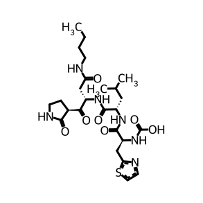 CCCCNC(=O)C[C@H](NC(=O)[C@H](CC(C)C)NC(=O)[C@H](Cc1nccs1)NC(=O)O)C(=O)[C@@H]1CCNC1=O